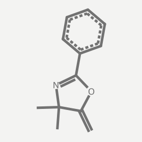 C=C1OC(c2ccccc2)=NC1(C)C